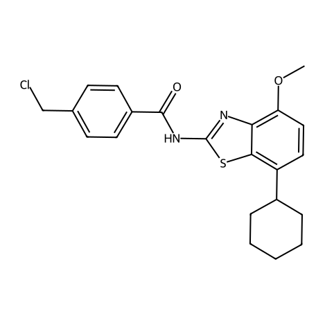 COc1ccc(C2CCCCC2)c2sc(NC(=O)c3ccc(CCl)cc3)nc12